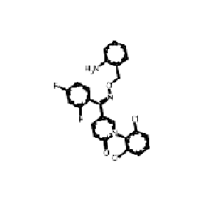 Nc1ccccc1CON=C(c1ccc(=O)n(-c2c(Cl)cccc2Cl)c1)c1ccc(F)cc1F